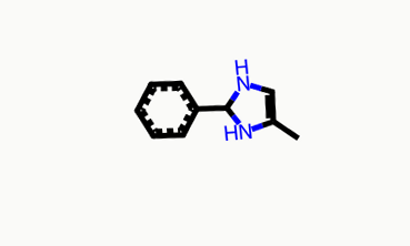 CC1=CNC(c2ccccc2)N1